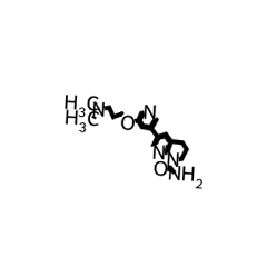 CN(C)CCCOc1cncc(-c2cnc3c(c2)CCCN3C(N)=O)c1